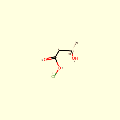 C[C@H](O)CC(=O)OCl